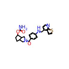 NC(=O)OC1CCC2CN(C(=O)c3ccc(NCc4ccnc5sccc45)cc3)CC21